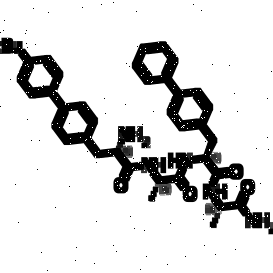 C[C@H](NC(=O)[C@H](Cc1ccc(-c2ccccc2)cc1)NC(=O)[C@H](C)NC(=O)[C@@H](N)Cc1ccc(-c2ccc(C(C)(C)C)cc2)cc1)C(N)=O